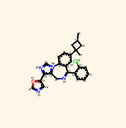 CC1CC(C)(c2ccc3c(c2)C(c2ccccc2Cl)=NCc2c(-c4cnco4)ncn2-3)C1